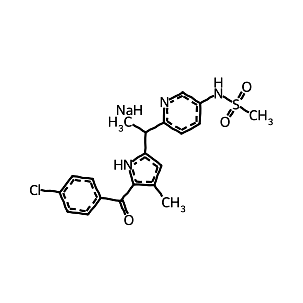 Cc1cc(C(C)c2ccc(NS(C)(=O)=O)cn2)[nH]c1C(=O)c1ccc(Cl)cc1.[NaH]